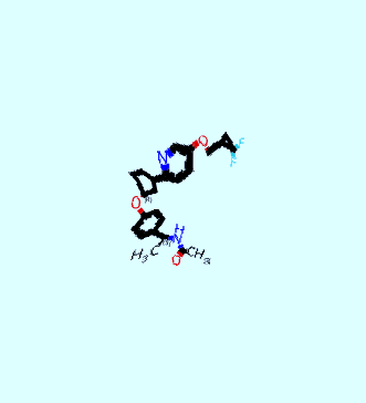 CC(=O)N[C@@H](C)c1ccc(O[C@@H]2CCC(c3ccc(OCC4CC4(F)F)cn3)C2)cc1